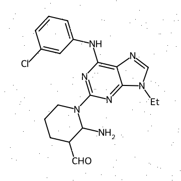 CCn1cnc2c(Nc3cccc(Cl)c3)nc(N3CCCC(C=O)C3N)nc21